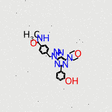 CNC(=O)c1ccc(Cn2nnc3c(N4CCOCC4)nc(-c4cccc(O)c4)nc32)cc1